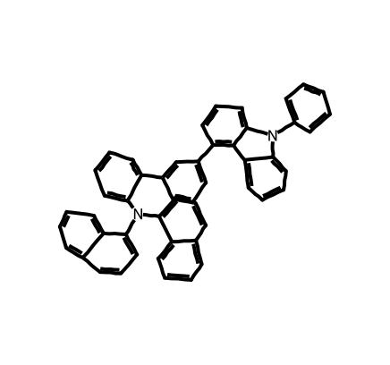 c1ccc(-n2c3ccccc3c3c(-c4cccc(-c5ccccc5N(c5cccc6ccccc56)c5cccc6ccccc56)c4)cccc32)cc1